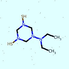 CCN(CC)N1CN(S)CN(S)C1